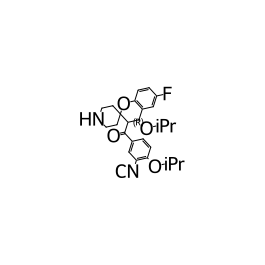 CC(C)Oc1ccc(C(=O)C2[C@@H](OC(C)C)c3cc(F)ccc3OC23CCNCC3)cc1C#N